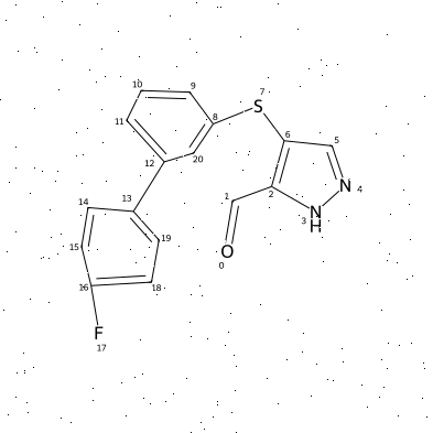 O=Cc1[nH]ncc1Sc1cccc(-c2ccc(F)cc2)c1